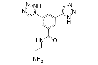 NCCNC(=O)c1cc(-c2cnn[nH]2)cc(-c2cnn[nH]2)c1